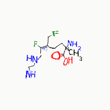 C[C@](N)(CC/C(CF)=C(/F)CNCC=N)C(=O)O